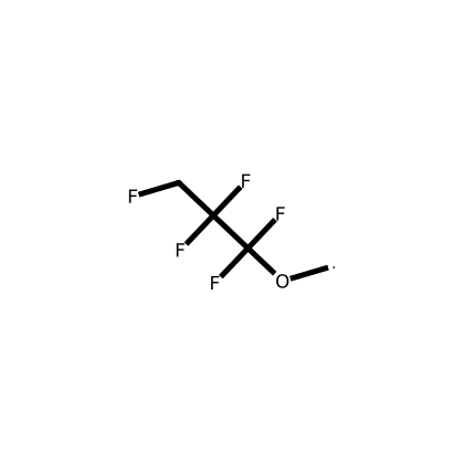 [CH2]OC(F)(F)C(F)(F)CF